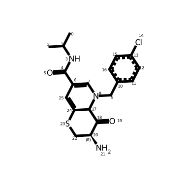 CC(C)NC(=O)C1=CN(Cc2ccc(Cl)cc2)C2C(=O)[C@@H](N)CSC2=C1